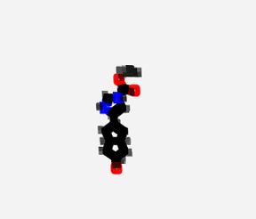 CC(C)(C)OC(=O)n1cnc(C2=CC3CC(=O)CC3C2)c1